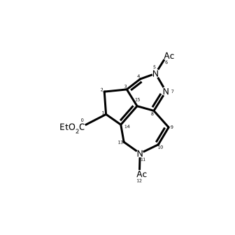 CCOC(=O)C1CC2=CN(C(C)=O)N=C3C=CN(C(C)=O)CC1=C23